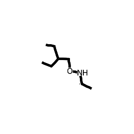 C[CH]NOCC(CC)CC